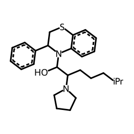 CC(C)CCCC(C(O)N1c2ccccc2SCC1c1ccccc1)N1CCCC1